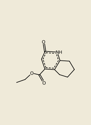 CCOC(=O)c1cc(=O)[nH]c2c1CCCC2